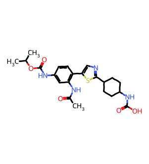 CC(=O)Nc1cc(NC(=O)OC(C)C)ccc1-c1cnc(C2CCC(NC(=O)O)CC2)s1